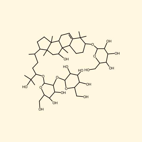 CC(CCC(OC1OC(CO)C(O)C(O)C1OC1OC(CO)C(O)C(O)C1O)C(C)(C)O)C1CCC2(C)C3CC=C4C(CCC(OC5OC(CO)C(O)C(O)C5O)C4(C)C)C3(C)C(O)CC12C